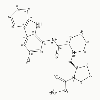 CC(C)(C)OC(=O)N1CCC[C@@H]1CN1CCOC[C@H]1C(=O)Nc1cc(Cl)cc2c1[nH]c1cnccc12